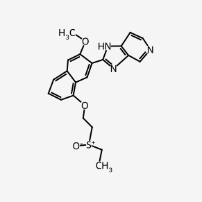 CC[S+]([O-])CCOc1cccc2cc(OC)c(-c3nc4cnccc4[nH]3)cc12